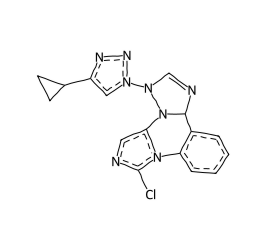 Clc1ncc2n1-c1ccccc1C1N=CN(n3cc(C4CC4)nn3)N21